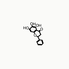 O=C1CC(c2ccccc2)Oc2cc(O)c(O)c(O)c21